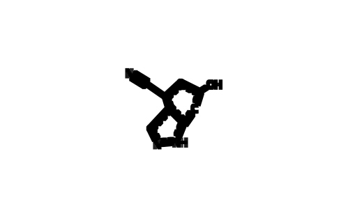 N#Cc1cc(O)cc2[nH]ncc12